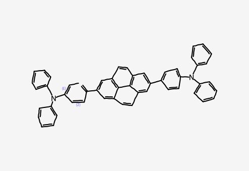 C=C(/C=C\C(=C/C)N(c1ccccc1)c1ccccc1)c1cc2ccc3cc(-c4ccc(N(c5ccccc5)c5ccccc5)cc4)cc4ccc(c1)c2c34